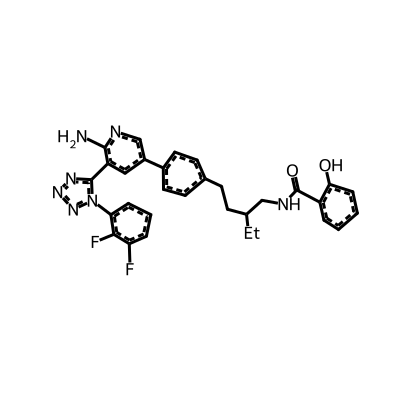 CCC(CCc1ccc(-c2cnc(N)c(-c3nnnn3-c3cccc(F)c3F)c2)cc1)CNC(=O)c1ccccc1O